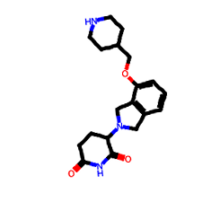 O=C1CCC(N2Cc3cccc(OCC4CCNCC4)c3C2)C(=O)N1